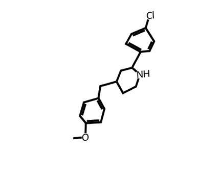 COc1ccc(CC2CCNC(c3ccc(Cl)cc3)C2)cc1